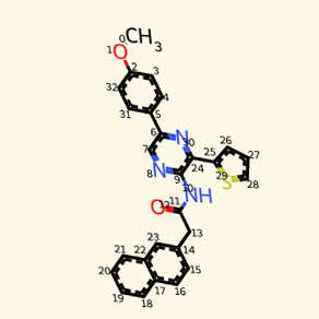 COc1ccc(-c2cnc(NC(=O)Cc3ccc4ccccc4c3)c(-c3cccs3)n2)cc1